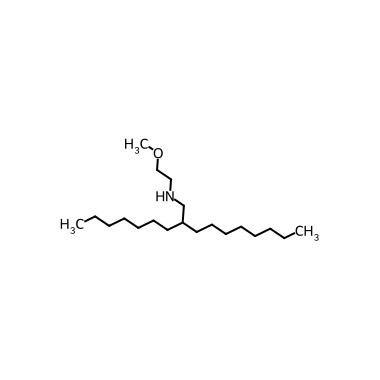 CCCCCCCCC(CCCCCCC)CNCCOC